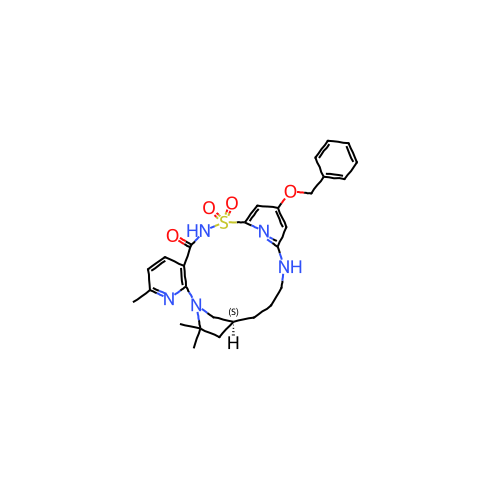 Cc1ccc2c(n1)N1C[C@@H](CCCNc3cc(OCc4ccccc4)cc(n3)S(=O)(=O)NC2=O)CC1(C)C